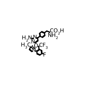 Cc1ccn(-c2ccc(F)cc2C(Oc2cc(-c3ccc(C[C@H](N)C(=O)O)cc3)nc(N)n2)C(F)(F)F)n1